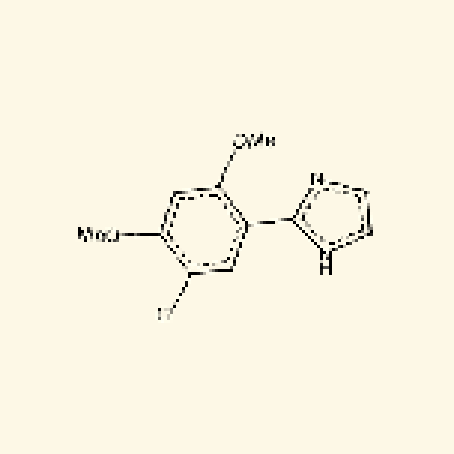 COc1cc(OC)c(-c2ncc[nH]2)cc1Cl